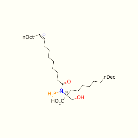 CCCCCCCC/C=C\CCCCCCCC(=O)N(P)[C@](CO)(CCCCCCCCCCCCCCCC)C(=O)O